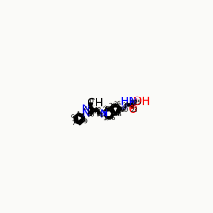 Cc1nn(-c2ccccc2)cc1CCN1CCc2cc(/C=C/C(=O)NO)ccc2C1